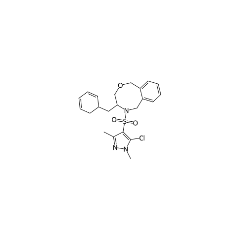 Cc1nn(C)c(Cl)c1S(=O)(=O)N1Cc2ccccc2COCC1CC1C=CC=CC1